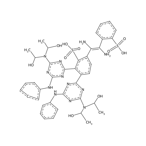 CC(O)N(c1nc(Nc2ccccc2)nc(-c2ccc(C(N)=C(N)c3ccccc3S(=O)(=O)O)c(S(=O)(=O)O)c2-c2nc(Nc3ccccc3)nc(N(C(C)O)C(C)O)n2)n1)C(C)O